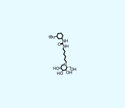 CC(C)(C)[C@H]1CCCC(NC(=O)NCCCCCCN2C[C@H](O)[C@@H](O)[C@H](O)[C@H]2CO)C1